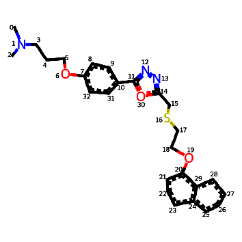 CN(C)CCCOc1ccc(-c2nnc(CSCCOc3cccc4ccccc34)o2)cc1